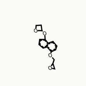 c1cc(OC2CCO2)c2cccc(OCC3CO3)c2c1